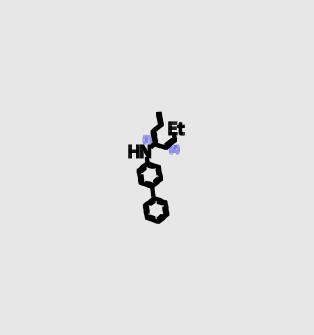 C=C/C=C(\C=C/CC)Nc1ccc(-c2ccccc2)cc1